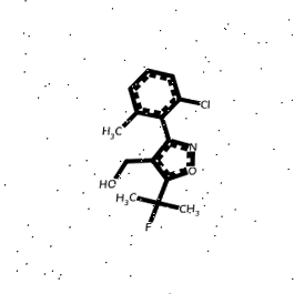 Cc1cccc(Cl)c1-c1noc(C(C)(C)F)c1CO